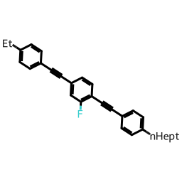 CCCCCCCc1ccc(C#Cc2ccc(C#Cc3ccc(CC)cc3)cc2F)cc1